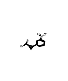 O=[N+]([O-])c1cccc(C2CC2C(Br)Br)c1